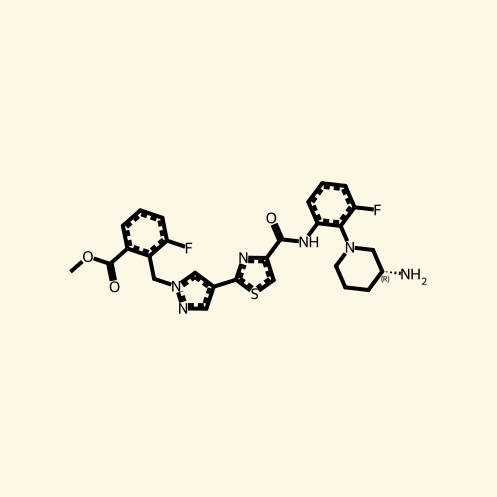 COC(=O)c1cccc(F)c1Cn1cc(-c2nc(C(=O)Nc3cccc(F)c3N3CCC[C@@H](N)C3)cs2)cn1